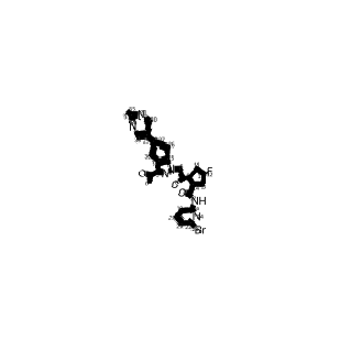 CC(=O)c1nn(CC(=O)C2C[C@H](F)CC2C(=O)Nc2cccc(Br)n2)c2ccc(-c3cnc(C)nc3)cc12